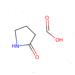 O=C1CCCN1.O=CO